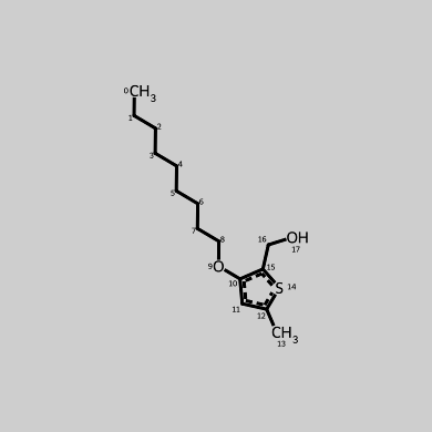 CCCCCCCCCOc1cc(C)sc1CO